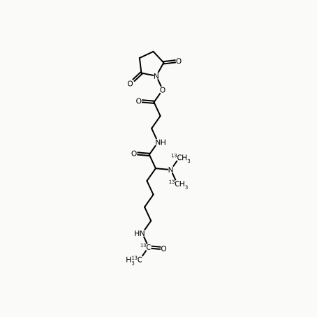 [13CH3][13C](=O)NCCCCC(C(=O)NCCC(=O)ON1C(=O)CCC1=O)N([13CH3])[13CH3]